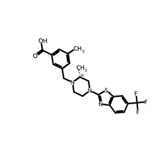 Cc1cc(CN2CCN(c3nc4ccc(C(F)(F)F)cc4s3)C[C@H]2C)cc(C(=O)O)c1